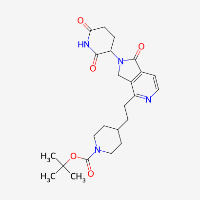 CC(C)(C)OC(=O)N1CCC(CCc2nccc3c2CN(C2CCC(=O)NC2=O)C3=O)CC1